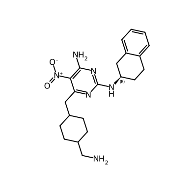 NCC1CCC(Cc2nc(N[C@@H]3CCc4ccccc4C3)nc(N)c2[N+](=O)[O-])CC1